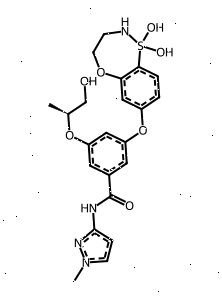 C[C@@H](CO)Oc1cc(Oc2ccc3c(c2)OCCNS3(O)O)cc(C(=O)Nc2ccn(C)n2)c1